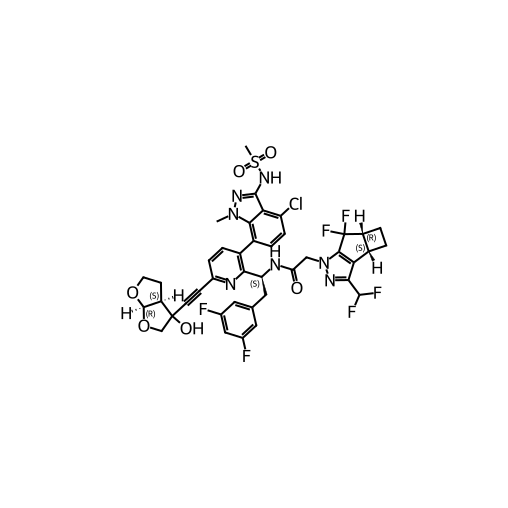 Cn1nc(NS(C)(=O)=O)c2c(Cl)ccc(-c3ccc(C#CC4(O)CO[C@H]5OCC[C@H]54)nc3[C@H](Cc3cc(F)cc(F)c3)NC(=O)Cn3nc(C(F)F)c4c3C(F)(F)[C@@H]3CC[C@H]43)c21